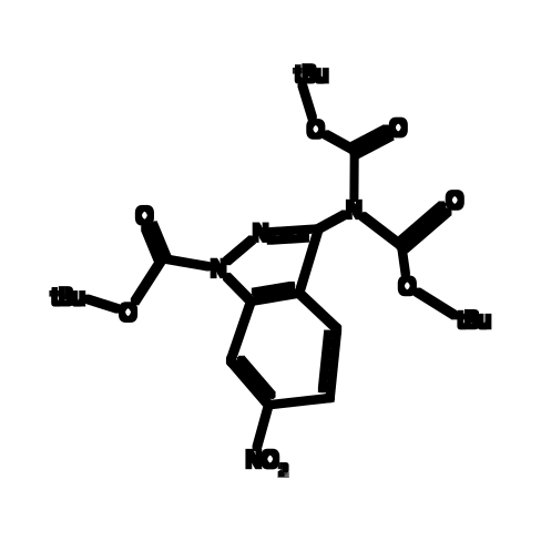 CC(C)(C)OC(=O)N(C(=O)OC(C)(C)C)c1nn(C(=O)OC(C)(C)C)c2cc([N+](=O)[O-])ccc12